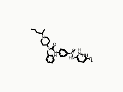 CCCC(C)N1CCC(N(Cc2ccccc2)C(=O)Nc2ccc([S+]([O-])NC3=CC=C(OC)NN3)cc2)CC1